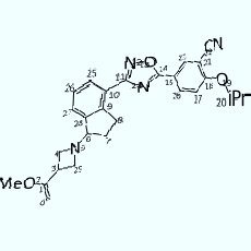 C=C(OC)C1CN(C2CCc3c(-c4noc(-c5ccc(OC(C)C)c(C#N)c5)n4)cccc32)C1